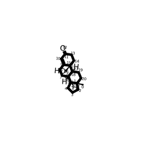 C[C@@]12CCC[C@H]1[C@@H]1CCC3=CC(=O)CC[C@]3(CO)[C@H]1CC2